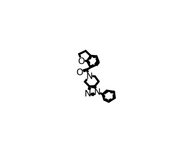 O=C(c1c#ccc2c1OCC2)N1CCc2c(ncn2-c2ccccc2)C1